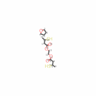 C1CCOC1.CC(S)CC(=O)OCCOC(=O)CC(C)S